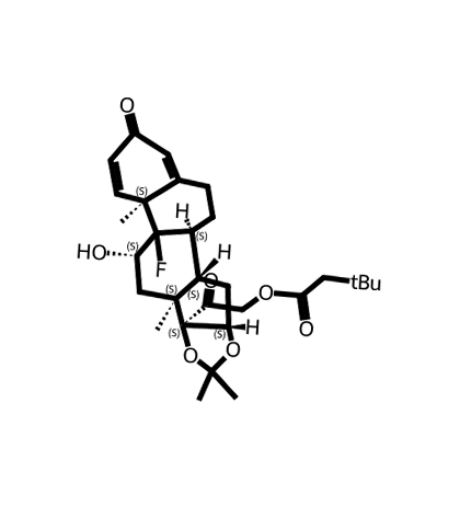 CC(C)(C)CC(=O)OCC(=O)[C@@]12OC(C)(C)O[C@H]1C[C@H]1[C@@H]3CCC4=CC(=O)C=C[C@]4(C)C3(F)[C@@H](O)C[C@@]12C